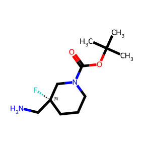 CC(C)(C)OC(=O)N1CCC[C@@](F)(CN)C1